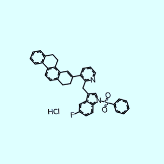 Cl.O=S(=O)(c1ccccc1)n1cc(Cc2ncccc2C2=Cc3c(ccc4c3CCc3ccccc3-4)CC2)c2cc(F)ccc21